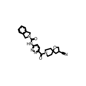 N#CC1COC2(CCN(C(=O)c3ccc(NC(=O)N4Cc5ccccc5C4)nn3)CC2)C1